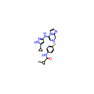 CC1CC1C(=O)Nc1ccc(SN2C=C(Nc3cc(C4CC4)[nH]n3)[N+]3C=CN=C3C2)cc1